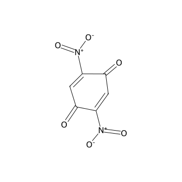 O=C1C=C([N+](=O)[O-])C(=O)C=C1[N+](=O)[O-]